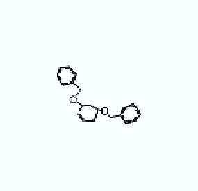 C1=CC(OCc2ccccc2)CC(OCc2ccccc2)C1